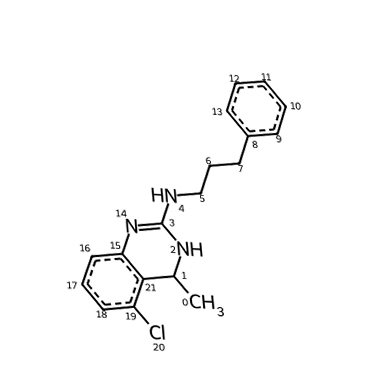 CC1NC(NCCCc2ccccc2)=Nc2cccc(Cl)c21